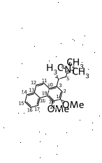 COc1cc(CC[N+](C)(C)C)c2ccc3ccccc3c2c1OC